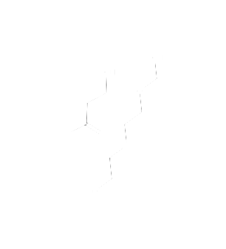 CCCC(=O)O.CCOCCOCCO